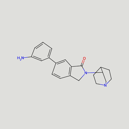 Nc1cccc(-c2ccc3c(c2)C(=O)N(C2CN4CCC2CC4)C3)c1